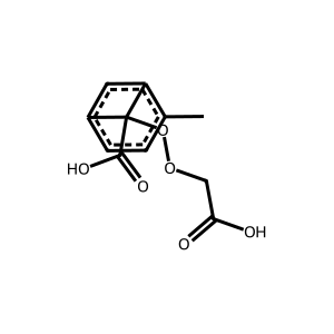 Cc1ccc2cc1C2(OOCC(=O)O)C(=O)O